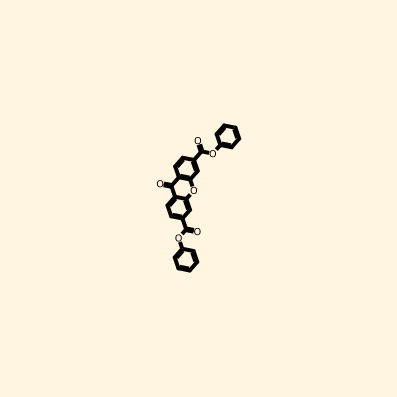 O=C(Oc1ccccc1)c1ccc2c(=O)c3ccc(C(=O)Oc4ccccc4)cc3oc2c1